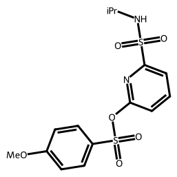 COc1ccc(S(=O)(=O)Oc2cccc(S(=O)(=O)NC(C)C)n2)cc1